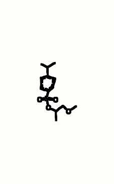 COCC(C)OS(=O)(=O)c1ccc(C(C)C)cc1